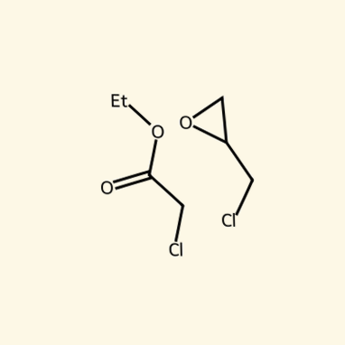 CCOC(=O)CCl.ClCC1CO1